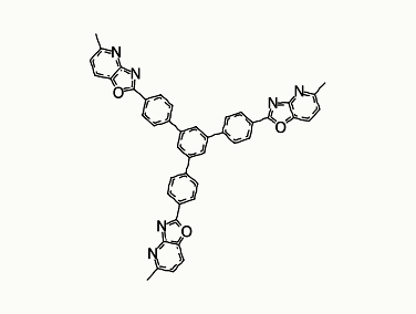 Cc1ccc2oc(-c3ccc(-c4cc(-c5ccc(-c6nc7nc(C)ccc7o6)cc5)cc(-c5ccc(-c6nc7nc(C)ccc7o6)cc5)c4)cc3)nc2n1